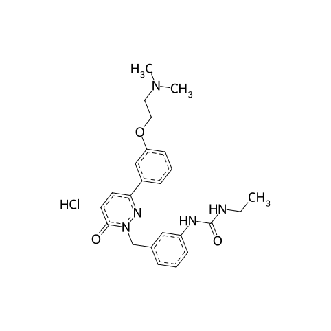 CCNC(=O)Nc1cccc(Cn2nc(-c3cccc(OCCN(C)C)c3)ccc2=O)c1.Cl